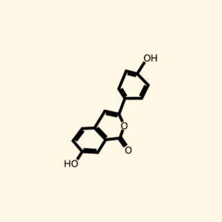 O=c1oc(-c2ccc(O)cc2)cc2ccc(O)cc12